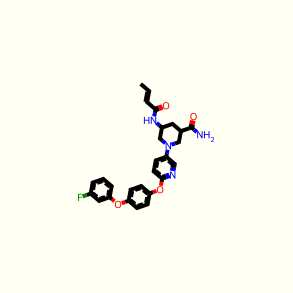 CC=CC(=O)NC1CC(C(N)=O)CN(c2ccc(Oc3ccc(Oc4cccc(F)c4)cc3)nc2)C1